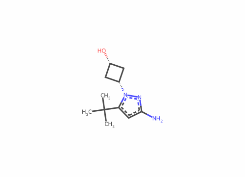 CC(C)(C)c1cc(N)nn1[C@H]1C[C@@H](O)C1